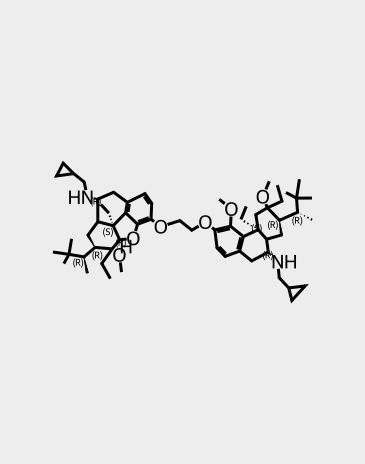 CCC1(OC)C[C@]2(CC)c3c(ccc(OCCOc4ccc5c6c4O[C@H]4C(CC)(OC)[C@@H]([C@@H](C)C(C)(C)C)CC([C@H](NCC7CC7)C5)[C@@]64CC)c3OC)C[C@@H](NCC3CC3)C2C[C@@H]1[C@@H](C)C(C)(C)C